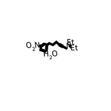 CCN(CC)CC#CCCCc1cccc([N+](=O)[O-])c1.O